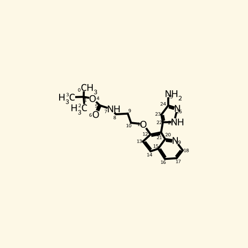 CC(C)(C)OC(=O)NCCCOc1ccc2cccnc2c1-c1cc(N)n[nH]1